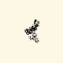 CCCCS(=O)(=O)ON=C(c1ccc2c3c(cccc13)-c1ccccc1-2)C(F)(F)C(F)(F)C(F)(F)C(F)(F)C(F)(F)C(F)F